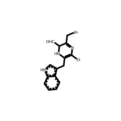 CCC1=C(Cc2c[nH]c3ccccc23)NC(C=O)C(CC(C)C)=N1